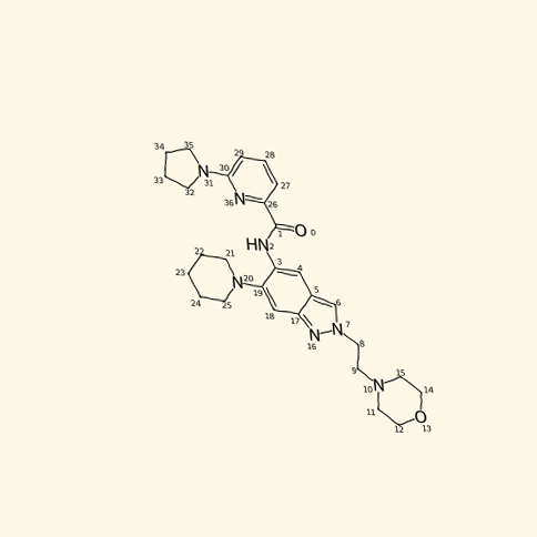 O=C(Nc1cc2cn(CCN3CCOCC3)nc2cc1N1CCCCC1)c1cccc(N2CCCC2)n1